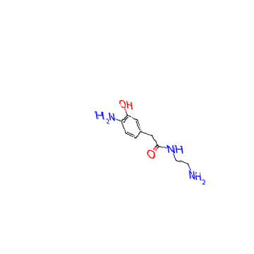 NCCNC(=O)Cc1ccc(N)c(O)c1